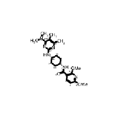 COc1ccc(C(=O)N[C@H]2CC[C@@H](Nc3nc(C)c(C)c(N(C)C)n3)CC2)c(OC)n1